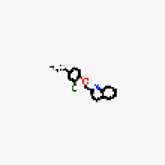 Cc1ccc(OCc2ccc3ccccc3n2)c(Cl)c1